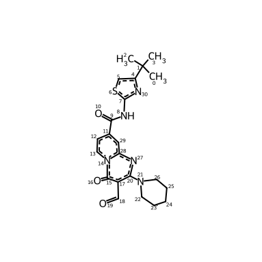 CC(C)(C)c1csc(NC(=O)c2ccn3c(=O)c(C=O)c(N4C[CH]CCC4)nc3c2)n1